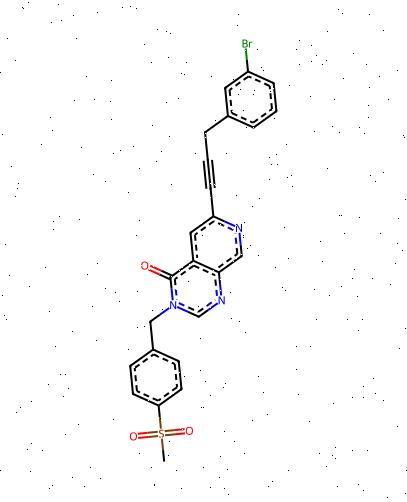 CS(=O)(=O)c1ccc(Cn2cnc3cnc(C#CCc4cccc(Br)c4)cc3c2=O)cc1